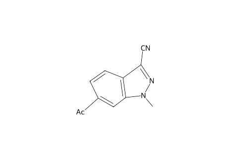 CC(=O)c1ccc2c(C#N)nn(C)c2c1